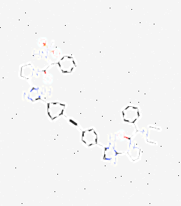 CCN(CC)[C@@H](C(=O)N1CCC[C@H]1c1ncc(-c2ccc(C#Cc3ccc(-c4cnc([C@@H]5CCCN5C(=O)[C@H](NS(C)(=O)=O)c5ccccc5)[nH]4)cc3)cc2)[nH]1)c1ccccc1